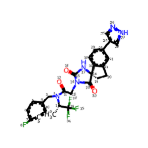 C[C@H](N(Cc1ccc(F)cc1)C(=O)CN1C(=O)N[C@]2(CCc3cc(-c4cn[nH]c4)ccc32)C1=O)C(F)(F)F